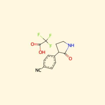 N#Cc1ccc(C2CCNC2=O)cc1.O=C(O)C(F)(F)F